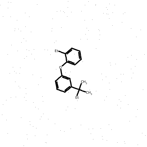 CCc1ccccc1Oc1cccc(C(C)(C)CC)c1